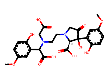 COc1ccc(O)c(C(C(=O)O)N(CCN2CC(=O)C(O)(c3cc(OC)ccc3O)[C@H]2C(=O)O)CC(=O)O)c1